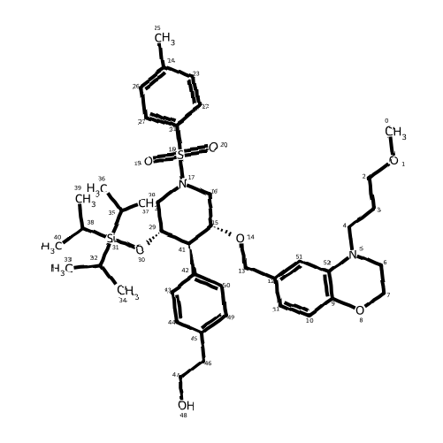 COCCCN1CCOc2ccc(CO[C@H]3CN(S(=O)(=O)c4ccc(C)cc4)C[C@@H](O[Si](C(C)C)(C(C)C)C(C)C)[C@@H]3c3ccc(CCO)cc3)cc21